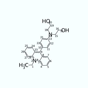 CC[n+]1c2ccccc2c(-c2ccc(N(CCO)CCO)cc2)c2ccccc21